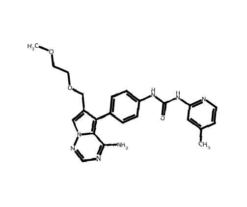 COCCOCc1cn2ncnc(N)c2c1-c1ccc(NC(=O)Nc2cc(C)ccn2)cc1